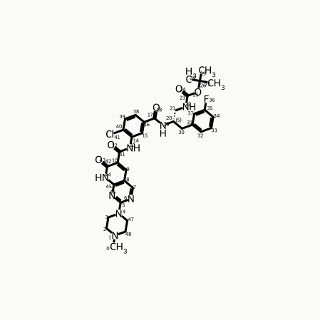 CN1CCN(c2ncc3cc(C(=O)Nc4cc(C(=O)N[C@H](CNC(=O)OC(C)(C)C)Cc5cccc(F)c5)ccc4Cl)c(=O)[nH]c3n2)CC1